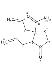 C=CCC1C(=O)CSC1(CC=C)C(N)=O